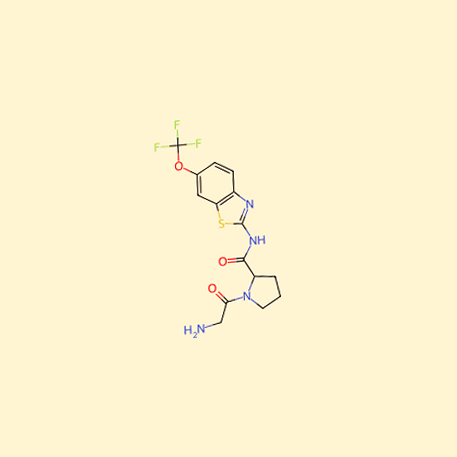 NCC(=O)N1CCCC1C(=O)Nc1nc2ccc(OC(F)(F)F)cc2s1